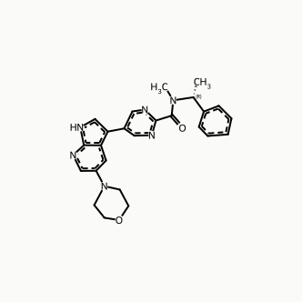 C[C@H](c1ccccc1)N(C)C(=O)c1ncc(-c2c[nH]c3ncc(N4CCOCC4)cc23)cn1